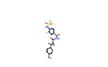 C[C@@H](NC(=O)C1CC1(C)c1ccc(C(C)(C)C)cc1)c1ccc(NS(C)(=O)=O)c(F)c1